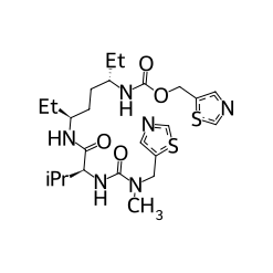 CC[C@@H](CC[C@H](CC)NC(=O)[C@@H](NC(=O)N(C)Cc1cncs1)C(C)C)NC(=O)OCc1cncs1